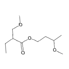 CCC(COC)C(=O)OCCC(C)OC